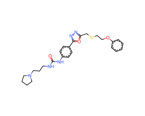 O=C(NCCCN1CCCC1)Nc1ccc(-c2nnc(CSCCOc3ccccc3)o2)cc1